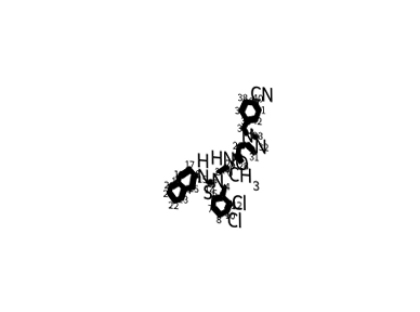 C[C@@H](CN(Cc1cccc(Cl)c1Cl)C(=S)Nc1ccc2ccccc2c1)NC(=O)Cc1cncn1Cc1ccc(C#N)cc1